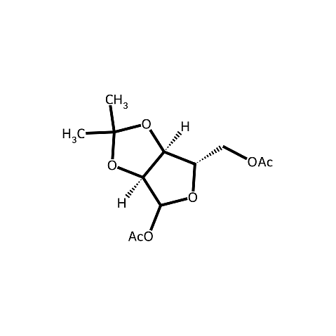 CC(=O)OC[C@@H]1OC(OC(C)=O)[C@H]2OC(C)(C)O[C@@H]12